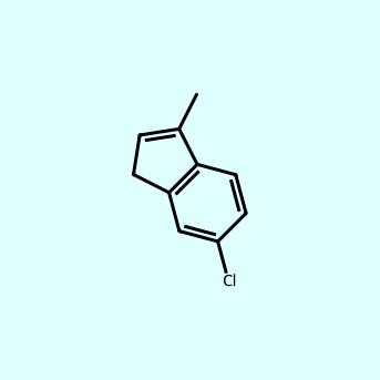 CC1=CCc2cc(Cl)ccc21